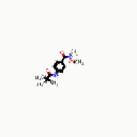 CON(C)C(=O)c1ccc(NC(=O)C(C)(C)C)cc1